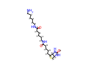 NCCCCCCNC(=O)CCCCCNC(=O)CCCCC1SCC2NC(=O)NC21